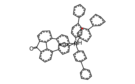 O=C1c2cccc(-c3ccc(Nc4ccc(-c5ccccc5)cc4)cc3)c2-c2c1cccc2-c1ccc(N(c2ccc(-c3ccccc3)cc2)c2ccc(-c3ccccc3)cc2)cc1